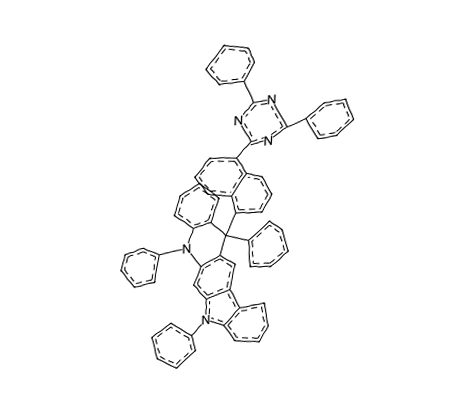 c1ccc(-c2nc(-c3ccccc3)nc(-c3cccc4c(C5(c6ccccc6)c6ccccc6N(c6ccccc6)c6cc7c(cc65)c5ccccc5n7-c5ccccc5)cccc34)n2)cc1